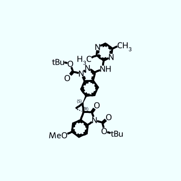 COc1ccc2c(c1)[C@]1(C[C@H]1c1ccc3c(Nc4nc(C)cnc4C)nn(C(=O)OC(C)(C)C)c3c1)C(=O)N2C(=O)OC(C)(C)C